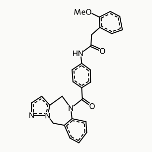 COc1ccccc1CC(=O)Nc1ccc(C(=O)N2Cc3ccnn3Cc3ccccc32)cc1